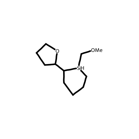 COC[SiH]1CCCCC1C1CCCO1